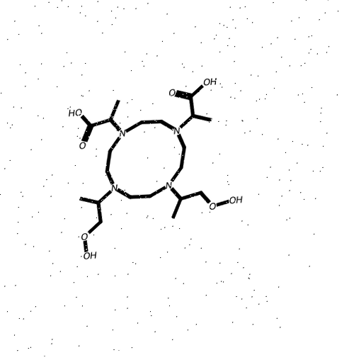 CC(COO)N1CCN(C(C)COO)CCN(C(C)C(=O)O)CCN(C(C)C(=O)O)CC1